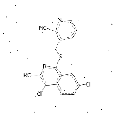 N#Cc1ncccc1CSc1nc(O)c(Cl)c2ccc(Cl)cc12